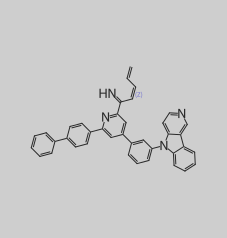 C=C/C=C\C(=N)c1cc(-c2cccc(-n3c4ccccc4c4cnccc43)c2)cc(-c2ccc(-c3ccccc3)cc2)n1